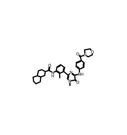 Cc1c(NC(=O)C2CCC3CCCCC3C2)cccc1-c1cn(C)c(=O)c(Nc2ccc(C(=O)N3CCOCC3)cc2)n1